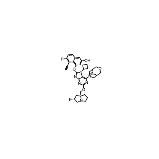 C#Cc1c(F)ccc2cc(O)cc(Oc3nc4nc(OC[C@@]56CCCN5C[C@H](F)C6)nc(N5CC6COCC(C5)N6)c4n3C3CCC3)c12